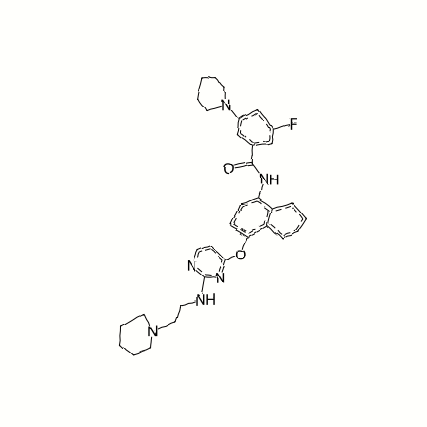 O=C(Nc1ccc(Oc2ccnc(NCCN3CCCCC3)n2)c2ccccc12)c1cc(F)cc(N2CCCCC2)c1